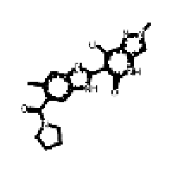 Cc1cc2nc(-c3c(Cl)c4nn(C)cc4[nH]c3=O)[nH]c2cc1C(=O)N1CCCC1